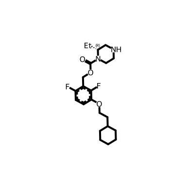 CC[C@@H]1CNCCN1C(=O)OCc1c(F)ccc(OCCC2CCCCC2)c1F